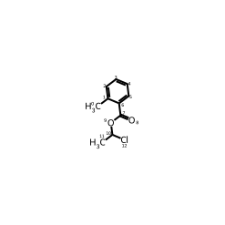 Cc1ccccc1C(=O)OC(C)Cl